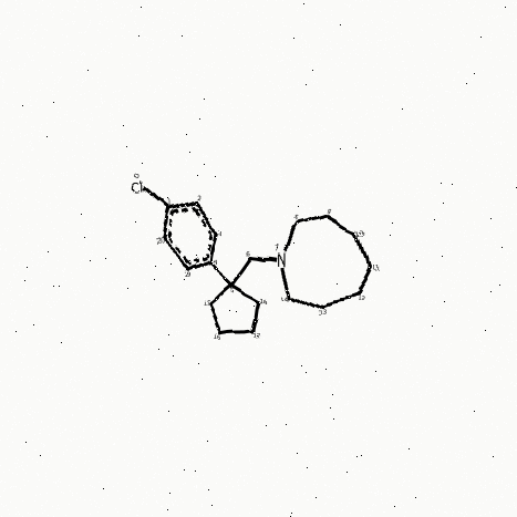 Clc1ccc(C2(CN3CCCCCCC3)CCCC2)cc1